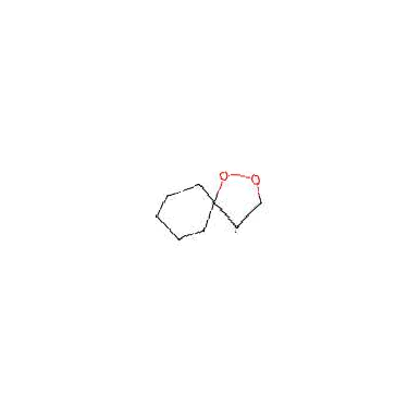 [CH]1COOC12CCCCC2